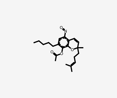 CCCCCc1cc(N=O)c2c(c1OC(C)=O)OC(C)(CCC=C(C)C)C=C2